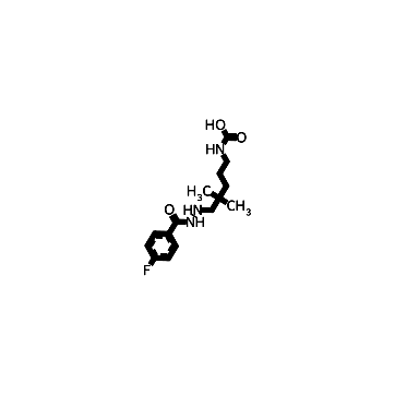 CC(C)(CCCNC(=O)O)CNNC(=O)c1ccc(F)cc1